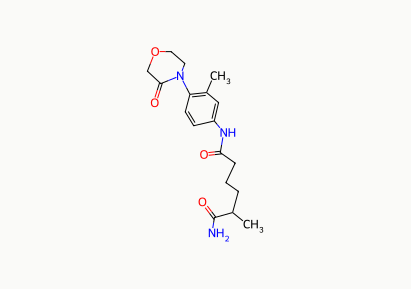 Cc1cc(NC(=O)CCCC(C)C(N)=O)ccc1N1CCOCC1=O